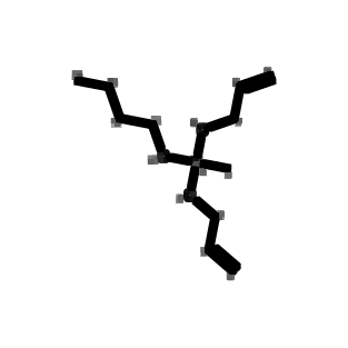 C=CC[O][Ti]([CH3])([O]CC=C)[O]CCCC